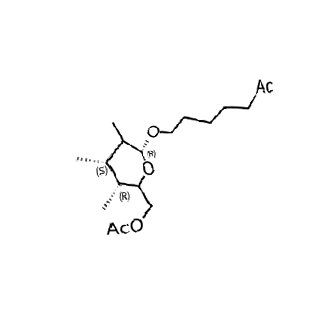 CC(=O)CCCCCO[C@@H]1OC(COC(C)=O)[C@H](C)[C@H](C)C1C